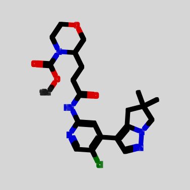 CC1(C)Cc2c(-c3cc(NC(=O)CCC4COCCN4C(=O)OC(C)(C)C)ncc3Cl)cnn2C1